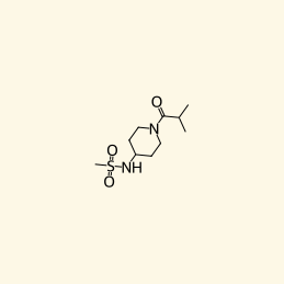 CC(C)C(=O)N1CCC(NS(C)(=O)=O)CC1